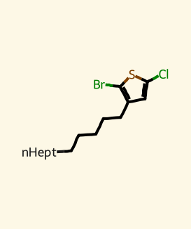 CCCCCCCCCCCCc1cc(Cl)sc1Br